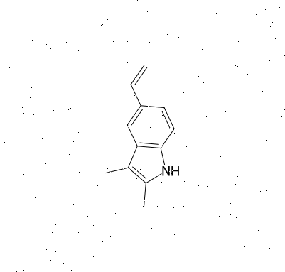 C=Cc1ccc2[nH]c(C)c(C)c2c1